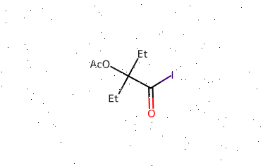 CCC(CC)(OC(C)=O)C(=O)I